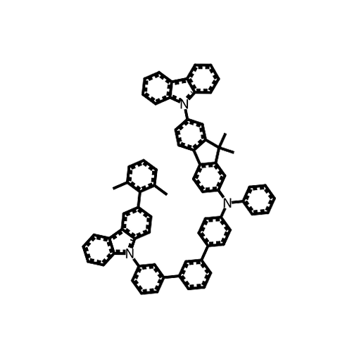 Cc1cccc(C)c1-c1ccc2c(c1)c1ccccc1n2-c1cccc(-c2cccc(-c3ccc(N(c4ccccc4)c4ccc5c(c4)C(C)(C)c4cc(-n6c7ccccc7c7ccccc76)ccc4-5)cc3)c2)c1